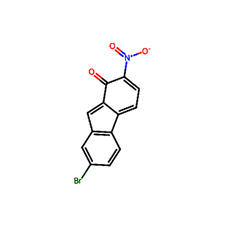 O=C1C2=Cc3cc(Br)ccc3C2=CC=C1[N+](=O)[O-]